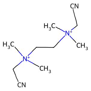 C[N+](C)(CC#N)CC[N+](C)(C)CC#N